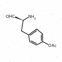 CC(=O)Oc1ccc(C[C@H](N)[C]=O)cc1